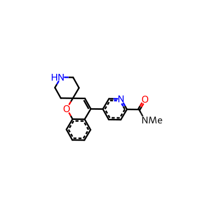 CNC(=O)c1ccc(C2=CC3(CCNCC3)Oc3ccccc32)cn1